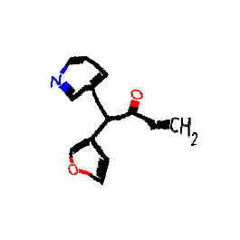 C=CC(=O)C(c1cccnc1)c1ccoc1